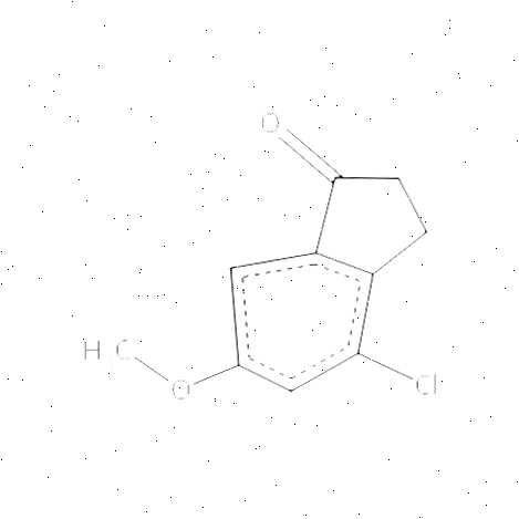 COc1cc(Cl)c2c(c1)C(=O)CC2